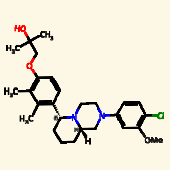 COc1cc(N2CCN3[C@@H](CCC[C@@H]3c3ccc(OCC(C)(C)O)c(C)c3C)C2)ccc1Cl